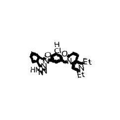 CCc1cc2c(c(CC)n1)CCC(=O)N2Cc1ccc2oc(-c3ccccc3-c3nnn[nH]3)nc2c1.Cl